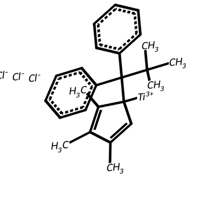 CC1=C[C]([Ti+3])(C(c2ccccc2)(c2ccccc2)C(C)(C)C)C(C)=C1C.[Cl-].[Cl-].[Cl-]